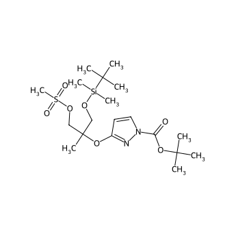 CC(C)(C)OC(=O)n1ccc(OC(C)(CO[Si](C)(C)C(C)(C)C)COS(C)(=O)=O)n1